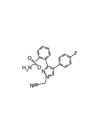 N#CCn1cc(-c2ccc(F)cc2)c(-c2ccccc2S(N)(=O)=O)n1